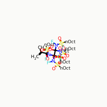 C=C(C)C(=O)OC(N(F)S(=O)(=O)CCCCCCCC)(C(N(F)S(=O)(=O)CCCCCCCC)(N(F)S(=O)(=O)CCCCCCCC)N(F)S(=O)(=O)CCCCCCCC)[N+](F)(CC)S(=O)(=O)CCCCCCCC